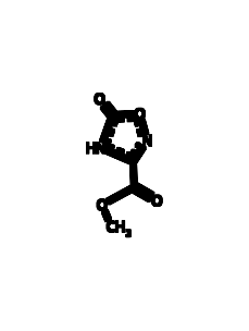 COC(=O)c1noc(=O)[nH]1